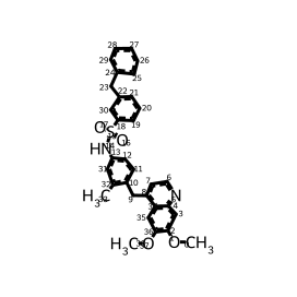 COc1cc2nccc(Cc3ccc(NS(=O)(=O)c4cccc(Cc5ccccc5)c4)cc3C)c2cc1OC